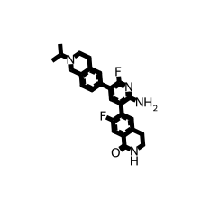 CC(C)N1CCc2cc(-c3cc(-c4cc5c(cc4F)C(=O)NCC5)c(N)nc3F)ccc2C1